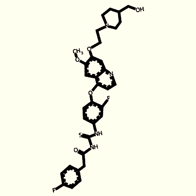 COc1cc2c(Oc3ccc(NC(=S)NC(=O)Cc4ccc(F)cc4)cc3F)ccnc2cc1OCCN1CCC(CO)CC1